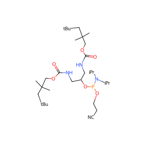 CC(C)N(C(C)C)P(OCCC#N)OC(CNC(=O)OCC(C)(C)CC(C)(C)C)CNC(=O)OCC(C)(C)CC(C)(C)C